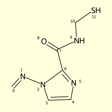 C=Nn1ccnc1C(=O)NCS